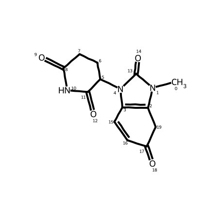 Cn1c2c(n(C3CCC(=O)NC3=O)c1=O)C=CC(=O)C2